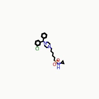 O=S(=O)(CCCCCCN1CCN(C(c2ccccc2)c2cccc(Cl)c2)CC1)NC1CC1